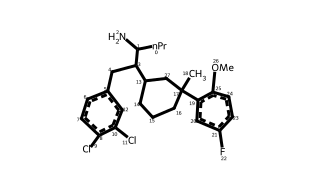 CCCC(N)C(Cc1ccc(Cl)c(Cl)c1)C1CCCC(C)(c2cc(F)ccc2OC)C1